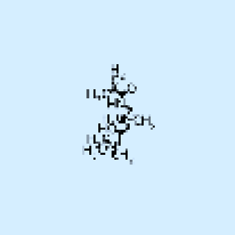 C=C(C)C(=O)NC[N+](C)(C)CC(O)C[N+](C)(C)C